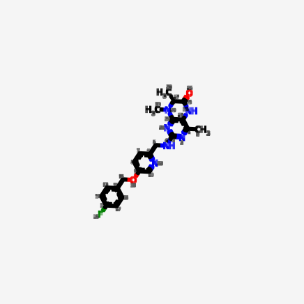 Cc1nc(NCc2ccc(OCc3ccc(F)cc3)cn2)nc2c1NC(=O)[C@H](C)N2C